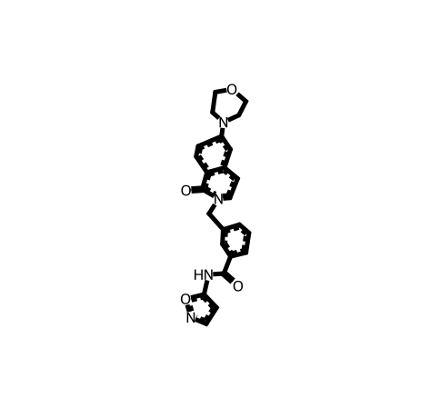 O=C(Nc1ccno1)c1cccc(Cn2ccc3cc(N4CCOCC4)ccc3c2=O)c1